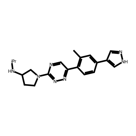 Cc1cc(-c2cn[nH]c2)ccc1-c1cnc(N2CCC(NC(C)C)C2)nn1